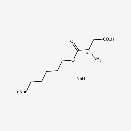 CCCCCCCCCCCCCCOC(=O)[C@@H](N)CC(=O)O.[NaH]